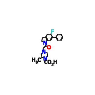 CC1CN(CC(=O)N2CCc3cc(F)c(-c4ccccc4)cc32)CCN1C(=O)O